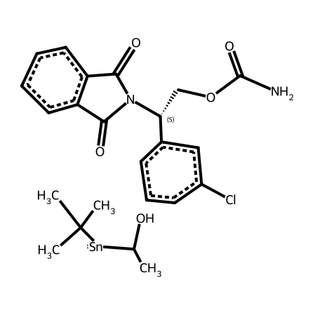 C[CH](O)[Sn][C](C)(C)C.NC(=O)OC[C@H](c1cccc(Cl)c1)N1C(=O)c2ccccc2C1=O